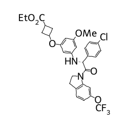 CCOC(=O)C1CC(Oc2cc(N[C@@H](C(=O)N3CCc4ccc(OC(F)(F)F)cc43)c3ccc(Cl)cc3)cc(OC)c2)C1